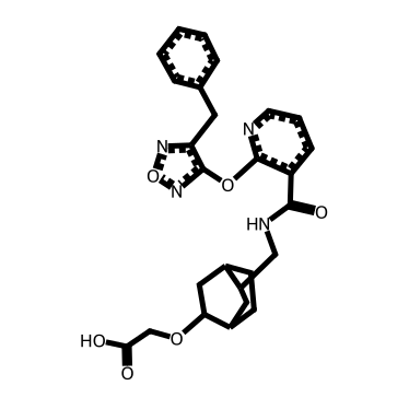 O=C(O)COC1CC2CCC1CC2CNC(=O)c1cccnc1Oc1nonc1Cc1ccccc1